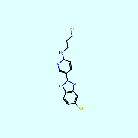 PCCCNC1C=CC(C2Nc3ccc(S)cc3N2)=CN1